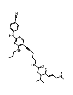 CCCNc1nc(Nc2ccc(C#N)cc2)ncc1C#CCCCNC(=O)CN(C(=O)/C=C/CN(C)C)C(C)C